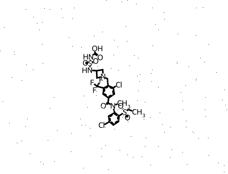 CCS(=O)(=O)c1ccc(Cl)cc1N(C)C(=O)c1cc(Cl)c(CN2CC(NS(=O)(=O)NC(=O)O)C2)c(C(F)(F)F)c1